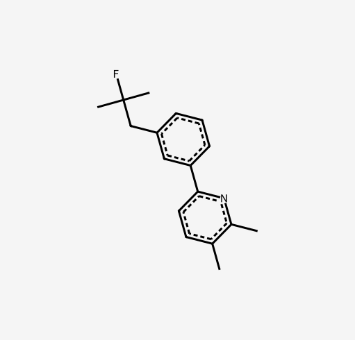 Cc1ccc(-c2cccc(CC(C)(C)F)c2)nc1C